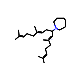 CC(C)=CCC/C(C)=C/CC(/C=C(\C)CCC=C(C)C)N1CCCCCC1